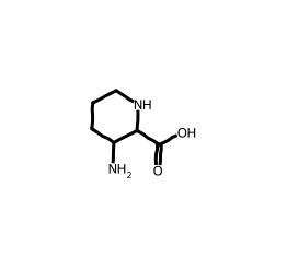 NC1CCCNC1C(=O)O